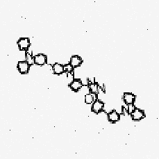 c1ccc(-n2c3ccccc3c3cc(-c4ccc5c(c4)c4ccccc4n5-c4cccc(-c5ncnc6c5oc5ccc(-c7cccc(-n8c9ccccc9c9ccccc98)c7)cc56)c4)ccc32)cc1